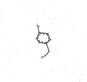 CC(C)Cc1ccc(Br)cc1